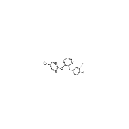 Fc1ccc(Cc2ncccc2Oc2ncc(Cl)cn2)cc1F